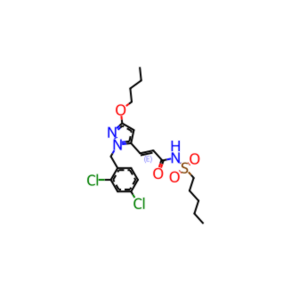 CCCCCS(=O)(=O)NC(=O)/C=C/c1cc(OCCCC)nn1Cc1ccc(Cl)cc1Cl